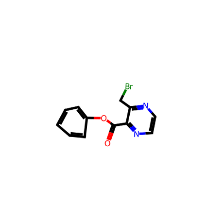 O=C(Oc1ccccc1)c1nccnc1CBr